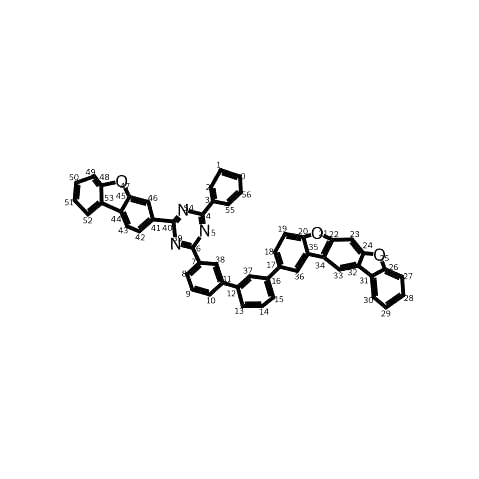 c1ccc(-c2nc(-c3cccc(-c4cccc(-c5ccc6oc7cc8oc9ccccc9c8cc7c6c5)c4)c3)nc(-c3ccc4c(c3)oc3ccccc34)n2)cc1